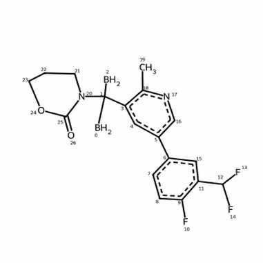 BC(B)(c1cc(-c2ccc(F)c(C(F)F)c2)cnc1C)N1CCCOC1=O